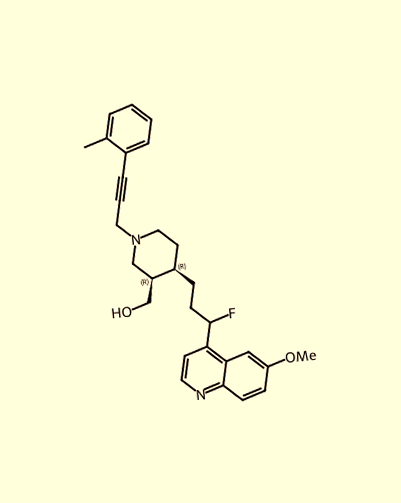 COc1ccc2nccc(C(F)CC[C@@H]3CCN(CC#Cc4ccccc4C)C[C@@H]3CO)c2c1